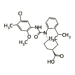 COc1cc(C)c(Cl)cc1NC(=O)N(c1ccccc1C(C)C)[C@H]1CC[C@H](C(=O)O)CC1